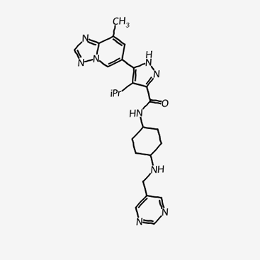 Cc1cc(-c2[nH]nc(C(=O)NC3CCC(NCc4cncnc4)CC3)c2C(C)C)cn2ncnc12